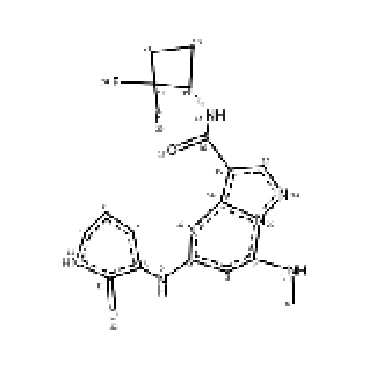 CNc1cc(Nc2ccc[nH]c2=O)nc2c(C(=O)N[C@H]3CCC3(F)F)cnn12